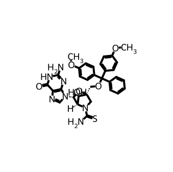 COc1ccc(C(OC[C@@]23CN(C(N)=S)[C@@H]([C@H](n4cnc5c(=O)[nH]c(N)nc54)O2)[C@@H]3O)(c2ccccc2)c2ccc(OC)cc2)cc1